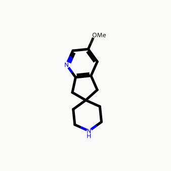 COc1cnc2c(c1)CC1(CCNCC1)C2